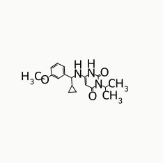 COc1cccc(C(Nc2cc(=O)n(C(C)C)c(=O)[nH]2)C2CC2)c1